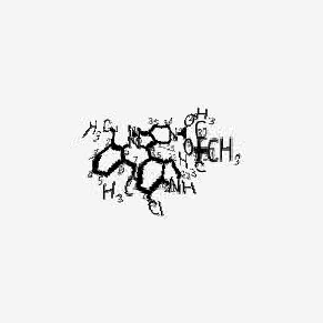 CCc1cccc(CC)c1-n1nc2c(c1-c1ccc(Cl)c3[nH]ccc13)CN(C(=O)OC(C)(C)C)CC2